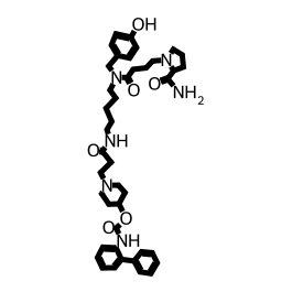 NC(=O)C1CCCN1CCCC(=O)N(CCCCCNC(=O)CCN1CCC(OC(=O)Nc2ccccc2-c2ccccc2)CC1)Cc1ccc(O)cc1